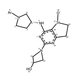 CC(=O)N1CC[C@@H](Nc2nc(N3CC(O)C3)nc3c2[S+]([O-])CC3)C1